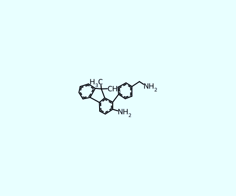 CC1(C)c2ccccc2-c2ccc(N)c(-c3ccc(CN)cc3)c21